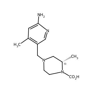 Cc1cc(N)ncc1CN1CCN(C(=O)O)[C@@H](C)C1